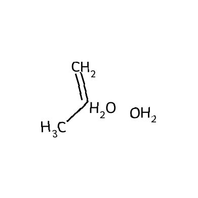 C=CC.O.O